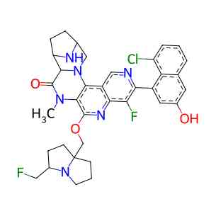 CN1C(=O)C2C3CCC(CN2c2c1c(OCC14CCCN1C(CF)CC4)nc1c(F)c(-c4cc(O)cc5cccc(Cl)c45)ncc21)N3